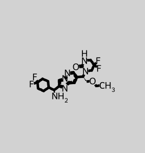 CCOC[C@H](c1cnn2cc([C@@H](N)C3CCC(F)(F)CC3)nc2c1)N1CC(F)(F)CNC1=O